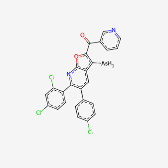 O=C(c1cccnc1)c1oc2nc(-c3ccc(Cl)cc3Cl)c(-c3ccc(Cl)cc3)cc2c1[AsH2]